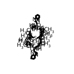 CSC1SCC2C(=O)N(C)C(C(C)C(C)C)C(=O)OCC(NC(=O)c3cnc4ccccc4n3)C(=O)NC(C)C(=O)N(C)C1C(=O)N(C)C(C(C)C(C)C)C(=O)OCC(NC(=O)c1cnc3ccccc3n1)C(=O)NC(C)C(=O)N2C